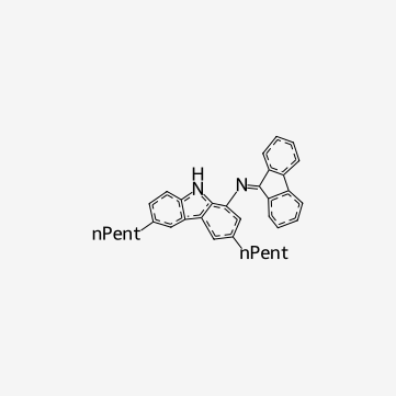 CCCCCc1ccc2[nH]c3c(N=C4c5ccccc5-c5ccccc54)cc(CCCCC)cc3c2c1